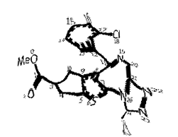 COC(=O)C1Cc2sc3c(c2C1)C(c1ccccc1Cl)=NC=C1N=N[C@@H](C)N13